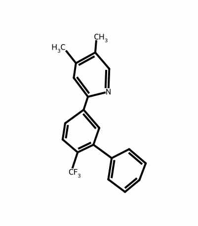 Cc1cnc(-c2ccc(C(F)(F)F)c(-c3ccccc3)c2)cc1C